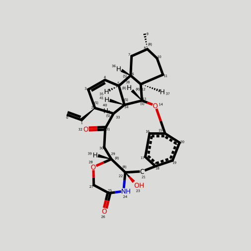 C=C[C@H]1C=C[C@H]2[C@@H]3C[C@H](C)CC[C@H]3[C@@H]3Oc4ccc(cc4)C[C@]4(O)NC(=O)CO[C@@H]4CC(=O)[C@@H]1[C@H]23